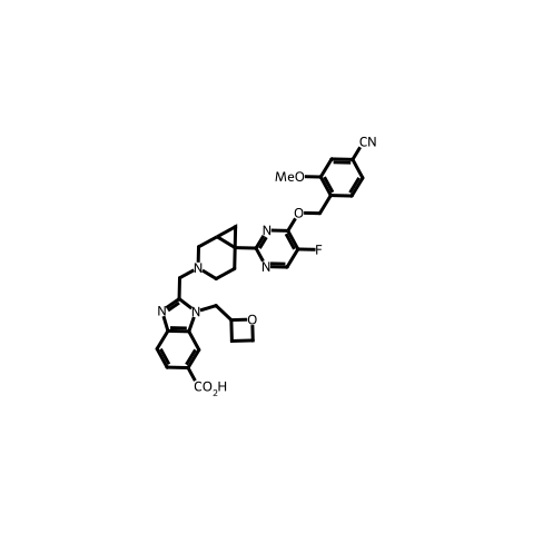 COc1cc(C#N)ccc1COc1nc(C23CCN(Cc4nc5ccc(C(=O)O)cc5n4CC4CCO4)CC2C3)ncc1F